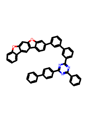 c1ccc(-c2ccc(-c3nc(-c4ccccc4)nc(-c4cccc(-c5cccc(-c6ccc7c(c6)oc6cc8oc9ccccc9c8cc67)c5)c4)n3)cc2)cc1